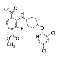 COC(=O)c1ccc([N+](=O)[O-])c(NC2CCC(Oc3ncc(Cl)cc3Cl)CC2)c1F